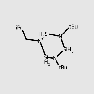 CC(C)CN1[SiH2]N(C(C)(C)C)[SiH2]N(C(C)(C)C)[SiH2]1